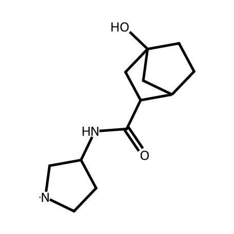 O=C(NC1CC[N]C1)C1CC2(O)CCC1C2